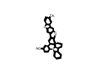 N#Cc1ccc(-n2c3ccccc3c3ccccc32)c(-c2ccc3oc4cc5c(cc4c3c2)oc2ccc(C#N)cc25)c1